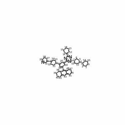 c1ccc(-c2ccc(-c3nc(-c4ccccc4)nc(-c4cc(-c5ccc(-c6cccnc6)cc5)cc(-c5c6ccccc6cc6ccccc56)c4)n3)cc2)cc1